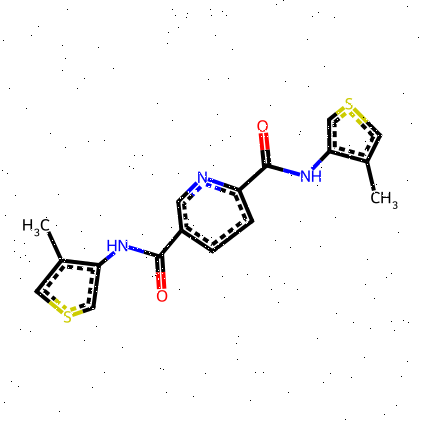 Cc1cscc1NC(=O)c1ccc(C(=O)Nc2cscc2C)nc1